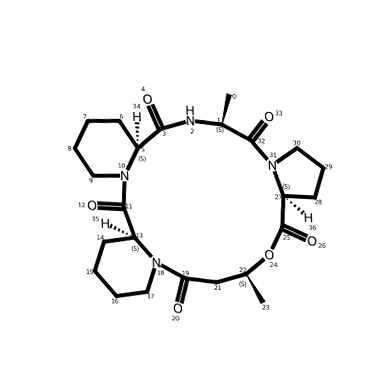 C[C@@H]1NC(=O)[C@@H]2CCCCN2C(=O)[C@@H]2CCCCN2C(=O)C[C@H](C)OC(=O)[C@@H]2CCCN2C1=O